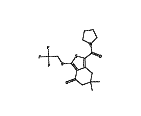 CC1(C)CC(=O)c2c(SCC(F)(F)F)sc(C(=O)N3CCCC3)c2C1